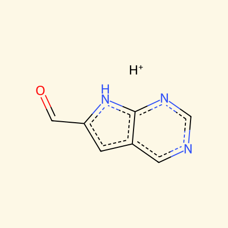 O=Cc1cc2cncnc2[nH]1.[H+]